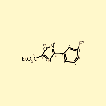 CCOC(=O)c1nc(-c2cccc(F)c2)no1